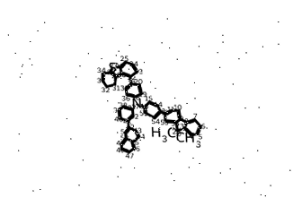 CC1(C)c2ccccc2-c2ccc(-c3ccc(N(c4ccc(-c5cccc6sc7c(c56)CCC=C7)cc4)c4cccc(-c5ccc6ccccc6c5)c4)cc3)cc21